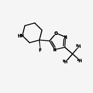 [2H]C([2H])([2H])c1noc(C2(F)CCCNC2)n1